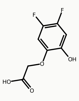 O=C(O)COc1cc(F)c(F)cc1O